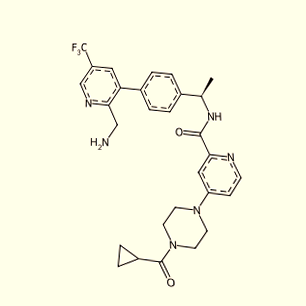 C[C@@H](NC(=O)c1cc(N2CCN(C(=O)C3CC3)CC2)ccn1)c1ccc(-c2cc(C(F)(F)F)cnc2CN)cc1